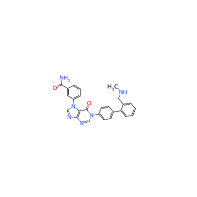 CNCc1ccccc1-c1ccc(-n2cnc3ncn(-c4cccc(C(N)=O)c4)c3c2=O)cc1